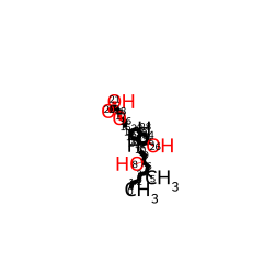 CCCC[C@H](C)C[C@H](O)/C=C/[C@@H]1[C@H]2C[C@H](CCOCC(=O)O)C[C@H]2C[C@H]1O